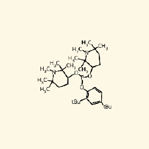 CN1C(C)(C)CCC(OP(Oc2ccc(C(C)(C)C)cc2C(C)(C)C)OC2CCC(C)(C)N(C)C2(C)C)C1(C)C